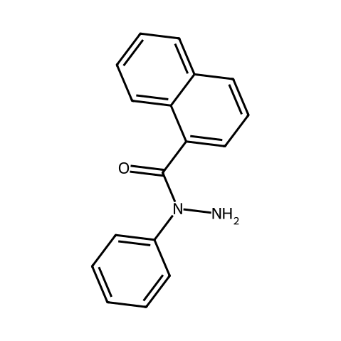 NN(C(=O)c1cccc2ccccc12)c1ccccc1